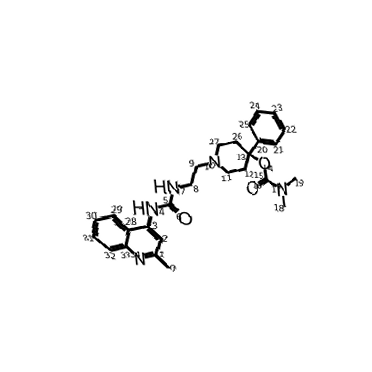 Cc1cc(NC(=O)NCCN2CCC(OC(=O)N(C)C)(c3ccccc3)CC2)c2ccccc2n1